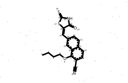 CCCCOc1c(C#N)ccc2ccc(C=C3SC(=S)NC3=O)cc12